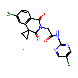 O=C(CN1C(=O)c2ccc(Br)cc2C2(CC2)C1=O)Nc1ncc(F)cn1